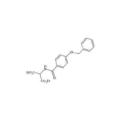 CCOC(=O)C(NC(=O)c1ccc(OCc2ccccc2)cc1)C(=O)OCC